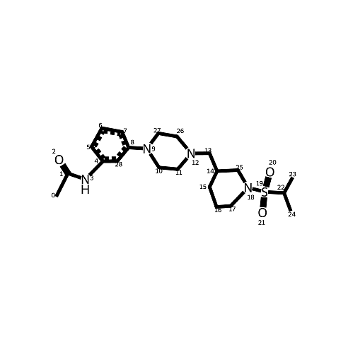 CC(=O)Nc1cccc(N2CCN(CC3CCCN(S(=O)(=O)C(C)C)C3)CC2)c1